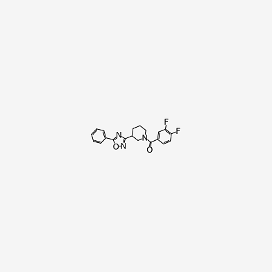 O=C(c1ccc(F)c(F)c1)N1CCCC(c2noc(-c3ccccc3)n2)C1